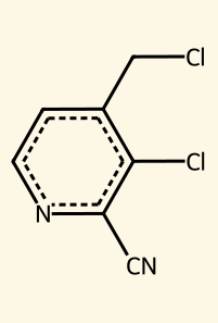 N#Cc1nccc(CCl)c1Cl